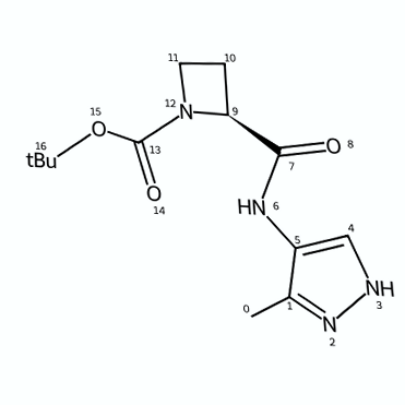 Cc1n[nH]cc1NC(=O)[C@@H]1CCN1C(=O)OC(C)(C)C